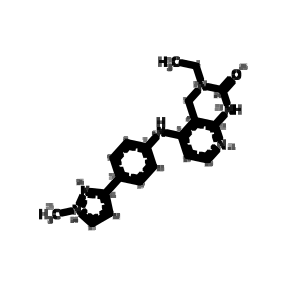 CCN1Cc2c(Nc3ccc(-c4ccn(C)n4)cc3)ccnc2NC1=O